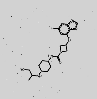 CC(CO)N[C@H]1CC[C@@H](NC(=O)N2CC(Oc3cc(F)cc4scnc34)C2)CC1